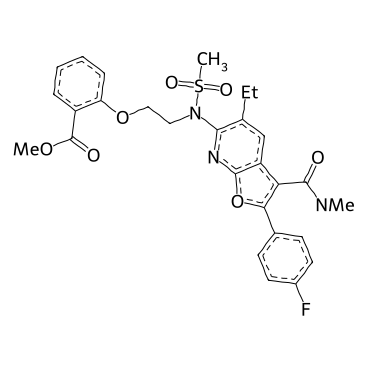 CCc1cc2c(C(=O)NC)c(-c3ccc(F)cc3)oc2nc1N(CCOc1ccccc1C(=O)OC)S(C)(=O)=O